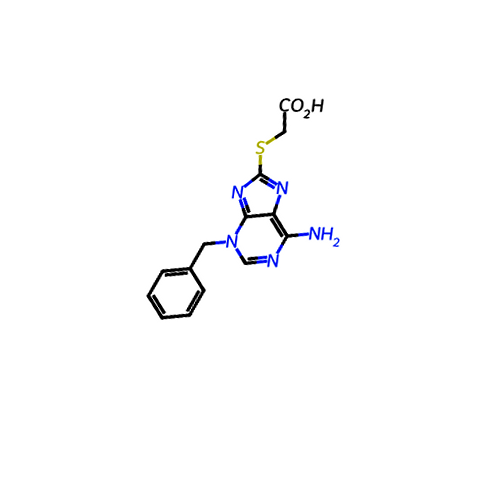 Nc1ncn(Cc2ccccc2)c2nc(SCC(=O)O)nc1-2